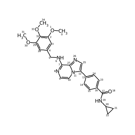 COc1cc(CNc2nccn3c(-c4ccc(C(=O)NC5CC5)cc4)cnc23)cc(OC)c1OC